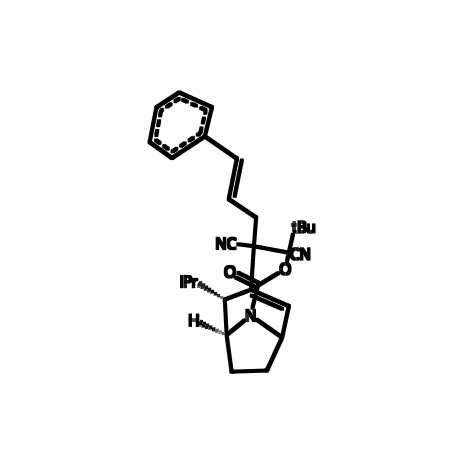 CC(C)[C@@H]1C(C(C#N)(C#N)C/C=C/c2ccccc2)=CC2CC[C@@H]1N2C(=O)OC(C)(C)C